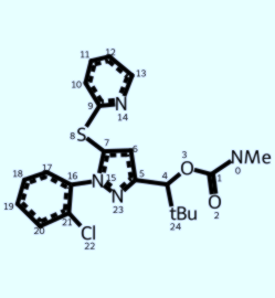 CNC(=O)OC(c1cc(Sc2ccccn2)n(-c2ccccc2Cl)n1)C(C)(C)C